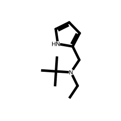 CCN(Cc1ccc[nH]1)C(C)(C)C